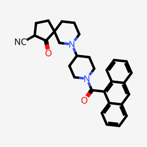 N#CC1CCC2(CCCN(C3CCN(C(=O)c4c5ccccc5cc5ccccc45)CC3)C2)C1=O